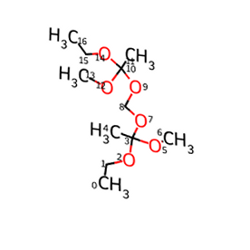 CCOC(C)(OC)OCOC(C)(OC)OCC